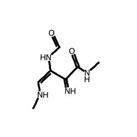 CN/C=C(/NC=O)C(=N)C(=O)NC